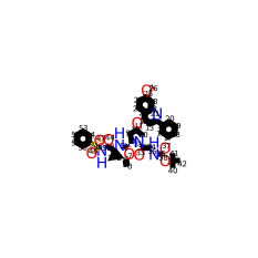 C=C[C@@H]1C[C@]1(NC(=O)[C@@H]1C[C@@H](Oc2cc(-c3ccccc3)nc3cc(OC)ccc23)CN1C(=O)CNC(=O)OC(C)(C)C)C(=O)NS(=O)(=O)c1ccccc1